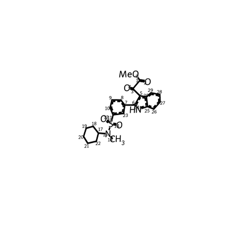 COC(=O)C(=O)c1c(-c2cccc(S(=O)(=O)N(C)C3CCCCC3)c2)[nH]c2ccccc12